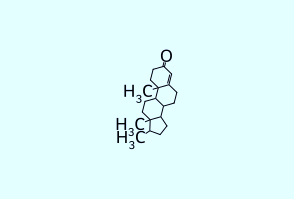 CC1CCC2C3CCC4=CC(=O)CCC4(C)C3CCC12C